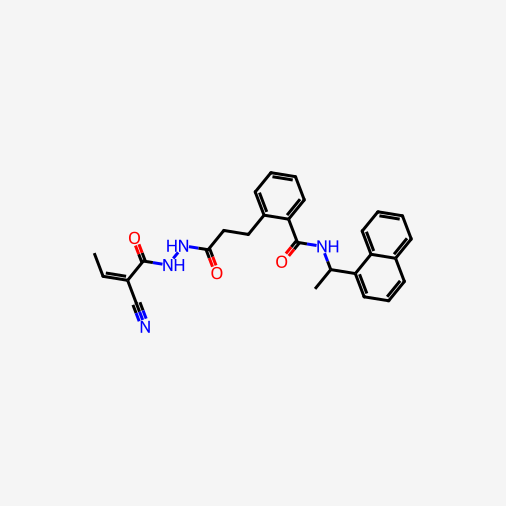 C/C=C(/C#N)C(=O)NNC(=O)CCc1ccccc1C(=O)NC(C)c1cccc2ccccc12